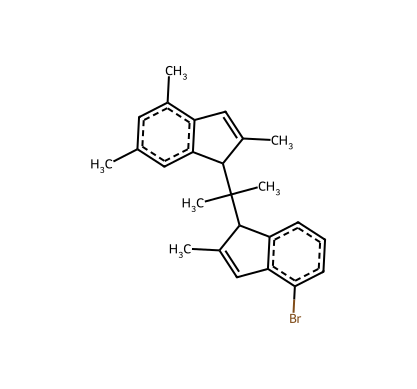 CC1=Cc2c(C)cc(C)cc2C1C(C)(C)C1C(C)=Cc2c(Br)cccc21